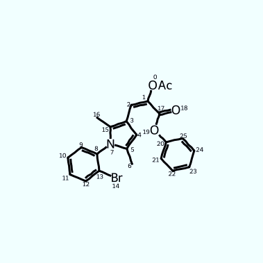 CC(=O)OC(=Cc1cc(C)n(-c2ccccc2Br)c1C)C(=O)Oc1ccccc1